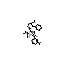 CCN/C(=N\S(=O)(=O)c1cccc(Cl)c1)N1N=CC(CC)C1c1ccccc1